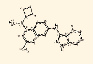 Cc1cc2cc(Nc3n[nH]c4cccnc34)ccc2c(N(C)C2CCC2)n1